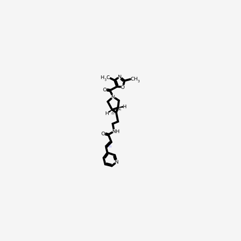 Cc1nc(C)c(C(=O)N2C[C@@H]3C(CCNC(=O)/C=C/c4cccnc4)[C@@H]3C2)o1